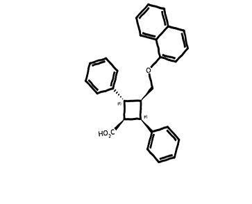 O=C(O)[C@H]1[C@H](c2ccccc2)[C@@H](COc2cccc3ccccc23)[C@H]1c1ccccc1